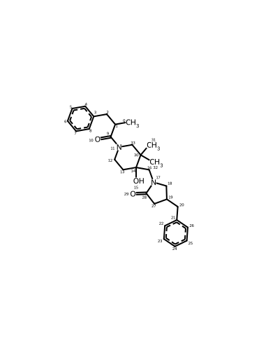 CC(Cc1ccccc1)C(=O)N1CCC(O)(CN2CC(Cc3ccccc3)CC2=O)C(C)(C)C1